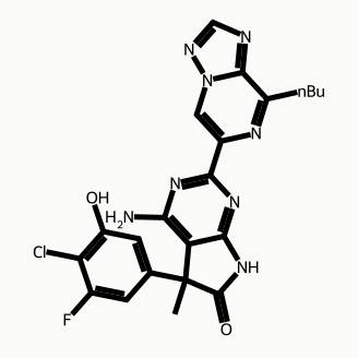 CCCCc1nc(-c2nc(N)c3c(n2)NC(=O)C3(C)c2cc(O)c(Cl)c(F)c2)cn2ncnc12